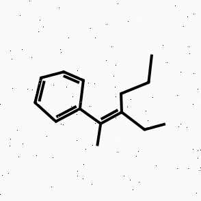 CCCC(CC)=C(C)c1ccccc1